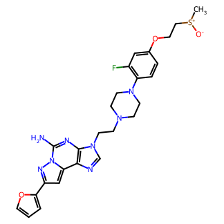 C[S+]([O-])CCOc1ccc(N2CCN(CCn3cnc4c3nc(N)n3nc(-c5ccco5)cc43)CC2)c(F)c1